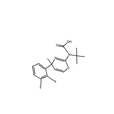 CC1(c2cccc(F)c2F)C=CSC(N(C(=O)O)C(C)(C)C)=N1